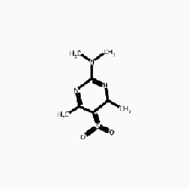 CC1=NC(N(C)C)=NC(C)C1=S(=O)=O